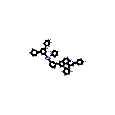 c1ccc(-c2cc(C3=NC(c4cccc(-c5ccc6c(ccc7nc(-c8ccccc8)cc(-c8ccccc8)c76)c5)c4)N3c3ccccc3)cc(-c3ccccc3)c2)cc1